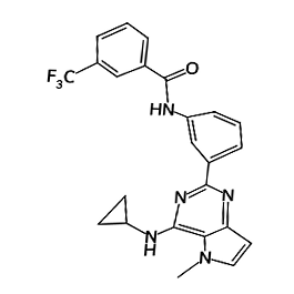 Cn1ccc2nc(-c3cccc(NC(=O)c4cccc(C(F)(F)F)c4)c3)nc(NC3CC3)c21